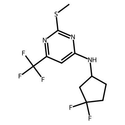 CSc1nc(NC2CCC(F)(F)C2)cc(C(F)(F)F)n1